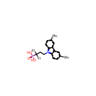 CCC(CC)(CCn1c2ccc(C(C)(C)C)cc2c2cc(C(C)(C)C)ccc21)P(=O)(O)O